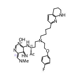 CN/C=C1/N=C[N+](O)=C(N[C@@H](CCN(CCCCc2ccc3c(n2)NCCC3)CCOc2ccc(F)cc2)C(C)=O)C1=N